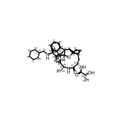 CC(C)[C@H](O)C(=O)N[C@H]1Cc2ccc3c(c2)C2(c4ccccc4N[C@H]2O3)c2oc(nc2C(=O)NCC2CCCCC2)[C@H](C(C)C)NC1=O